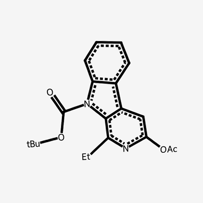 CCc1nc(OC(C)=O)cc2c3ccccc3n(C(=O)OC(C)(C)C)c12